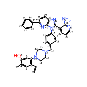 C=Cc1cc(C)c(O)cc1N1CCN(Cc2ccc(-n3c(-c4cccnc4N)nc4ccc(-c5ccccc5)nc43)cc2)CC1